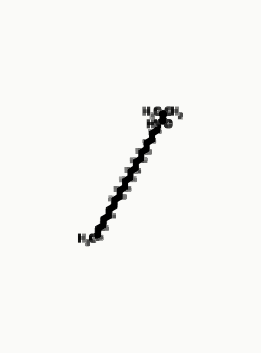 C=C(C)C(=O)NCCCCCCCCCCCCCCCCCCCCCCCC